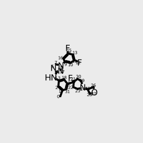 Cc1cc(Nc2ncn(-c3cc(F)cc(F)c3)n2)cc(C2(F)CCN(C3COC3)CC2)c1